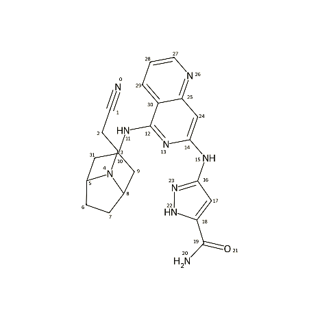 N#CCCN1C2CCC1CC(Nc1nc(Nc3cc(C(N)=O)[nH]n3)cc3ncccc13)C2